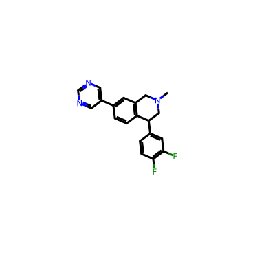 CN1Cc2cc(-c3cncnc3)ccc2C(c2ccc(F)c(F)c2)C1